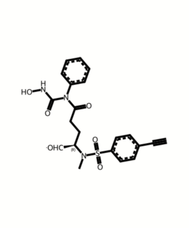 C#Cc1ccc(S(=O)(=O)N(C)[C@@H]([C]=O)CCC(=O)N(C(=O)NO)c2ccccc2)cc1